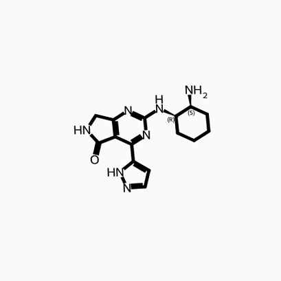 N[C@H]1CCCC[C@H]1Nc1nc2c(c(-c3ccn[nH]3)n1)C(=O)NC2